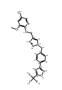 COc1cc(Cl)cnc1OCc1cn(Cc2ccc(-c3noc(C(F)(F)F)n3)cc2)nn1